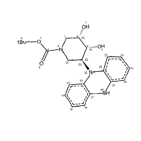 CC(C)(C)OC(=O)N1C[C@H](O)[C@H](O)[C@@H](N2c3ccccc3Bc3ccccc32)C1